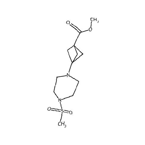 COC(=O)C12CC(N3CCN(S(C)(=O)=O)CC3)(C1)C2